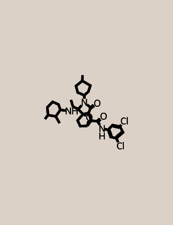 CC1CCC(N2C(=O)C3C(C(=O)Nc4cc(Cl)cc(Cl)c4)C4CCC3(O4)C2C(C)NC2CCCC(C)C2C)CC1